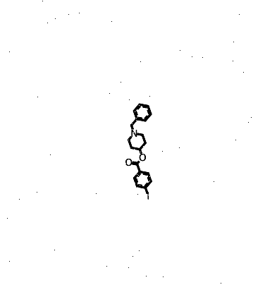 O=C(OC1CCN(Cc2ccccc2)CC1)c1ccc(I)cc1